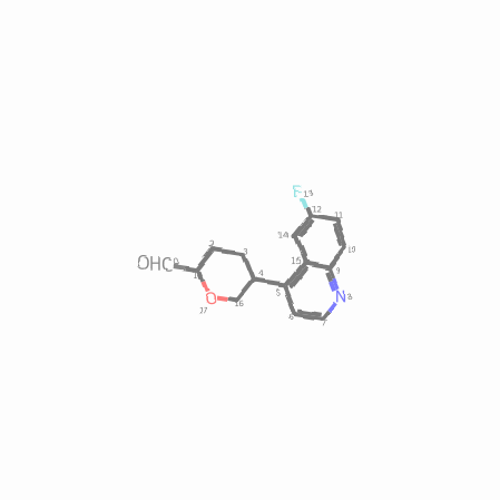 O=CC1CCC(c2ccnc3ccc(F)cc23)CO1